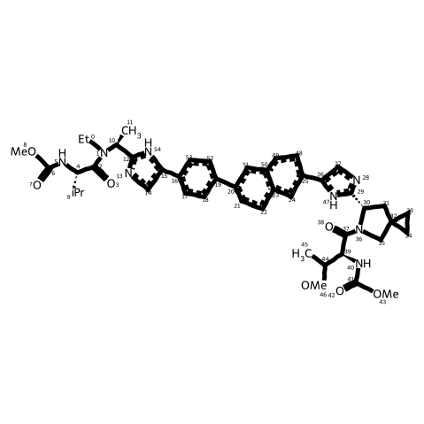 CCN(C(=O)[C@@H](NC(=O)OC)C(C)C)[C@@H](C)c1ncc(-c2ccc(-c3ccc4cc(-c5cnc([C@@H]6CC7(CC7)CN6C(=O)[C@@H](NC(=O)OC)C(C)OC)[nH]5)ccc4c3)cc2)[nH]1